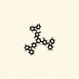 CC1=CC(n2c3ccccc3c3ccccc32)C(C)C=C1c1cc(-c2ccc(-n3c4ccccc4c4ccccc43)cc2)cc(-c2ccc(-n3c4ccccc4c4ccccc43)cc2C)c1